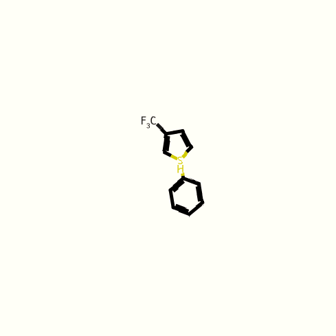 FC(F)(F)C1=C[SH](c2cc[c]cc2)C=C1